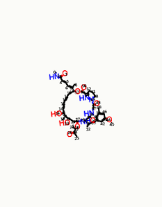 CNC(=O)/C=C/C=C(\C)[C@@H]1C/C=C/C=C/[C@H](O)[C@H](C)[C@@H](O)[C@@H](CCC(C)=O)C(=O)N[C@@H](C(C)C)C(=O)N[C@@H](Cc2cccc(OC)c2)C(=O)N2CCCC(N2)C(=O)O1